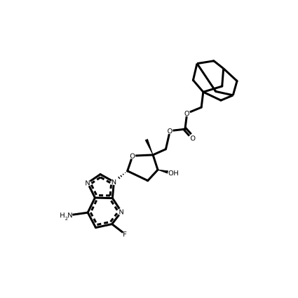 C[C@]1(COC(=O)OCC23CC4CC(CC(C4)C2)C3)O[C@@H](n2cnc3c(N)cc(F)nc32)C[C@@H]1O